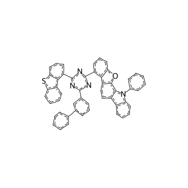 c1ccc(-c2cccc(-c3nc(-c4cccc5oc6c(ccc7c8ccccc8n(-c8ccccc8)c76)c45)nc(-c4cccc5sc6ccccc6c45)n3)c2)cc1